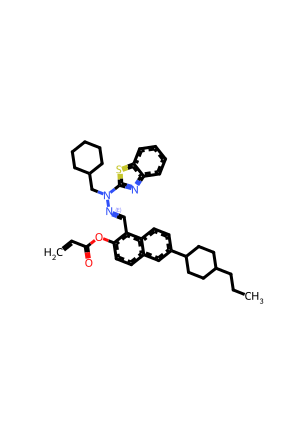 C=CC(=O)Oc1ccc2cc(C3CCC(CCC)CC3)ccc2c1/C=N/N(CC1CCCCC1)c1nc2ccccc2s1